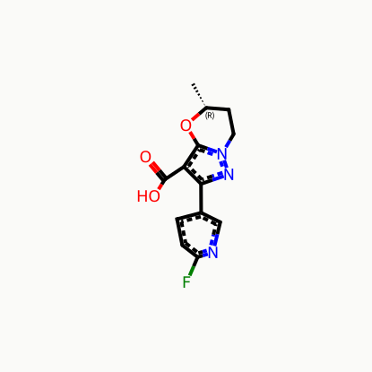 C[C@@H]1CCn2nc(-c3ccc(F)nc3)c(C(=O)O)c2O1